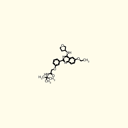 CCOc1ccc2nc(-c3cccc(OCC(=O)NC(C)(C)C)c3)nc(NC3CCOC3)c2c1